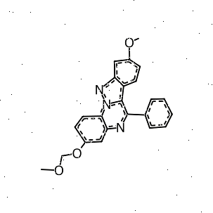 COCOc1ccc2c(c1)nc(-c1ccccc1)c1c3ccc(OC)cc3nn21